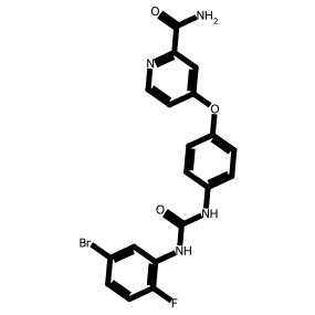 NC(=O)c1cc(Oc2ccc(NC(=O)Nc3cc(Br)ccc3F)cc2)ccn1